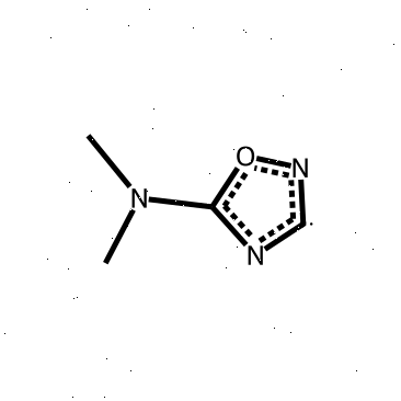 CN(C)c1n[c]no1